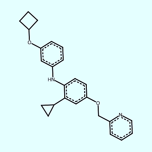 c1ccc(COc2ccc(Nc3cccc(OC4CCC4)c3)c(C3CC3)c2)nc1